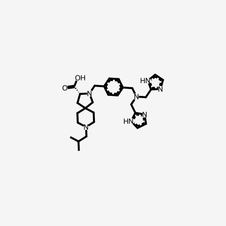 CC(C)CN1CCC2(CC1)C[C@H](C(=O)O)N(Cc1ccc(CN(Cc3ncc[nH]3)Cc3ncc[nH]3)cc1)C2